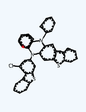 Clc1cc(N(c2ccccc2)c2cc3sc4ccccc4c3cc2N(c2ccccc2)c2ccccc2)cc2sc3ccccc3c12